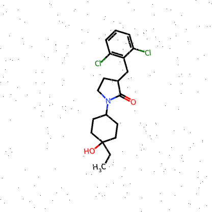 CCC1(O)CCC(N2CCC(Cc3c(Cl)cccc3Cl)C2=O)CC1